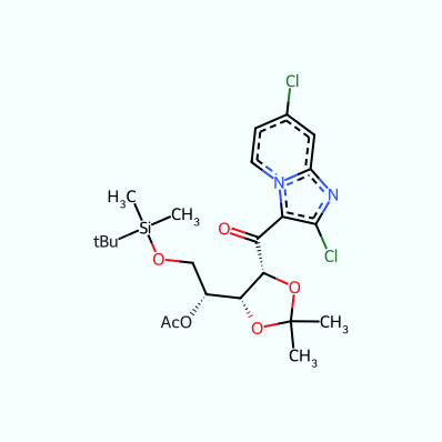 CC(=O)O[C@H](CO[Si](C)(C)C(C)(C)C)[C@H]1OC(C)(C)O[C@H]1C(=O)c1c(Cl)nc2cc(Cl)ccn12